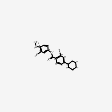 O=C(Oc1ccc(OC(F)(F)F)c(F)c1)c1ccc(C2CCCCC2)cc1F